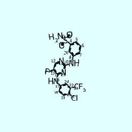 NS(=O)(=O)c1cccc(Nc2ncc(F)c(Nc3ccc(Cl)c(C(F)(F)F)c3)n2)c1